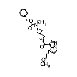 COCCn1ccn2ncc(C(=O)N3CC4(CC(N(C)C(=O)OCc5ccccc5)C4)C3)c12